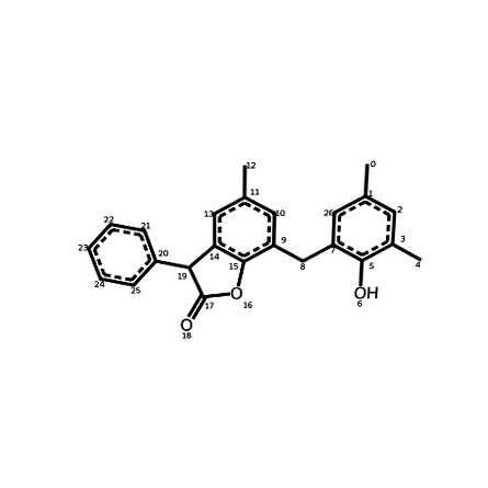 Cc1cc(C)c(O)c(Cc2cc(C)cc3c2OC(=O)C3c2ccccc2)c1